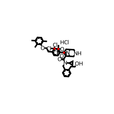 Cc1ccc(C)c(OCCc2ccc(C3=C(C(=O)N(Cc4ccccc4CCO)C4CC4)C4CNCC(C3)N4C(=O)OC(C)(C)C(Cl)(Cl)Cl)cc2)c1C.Cl